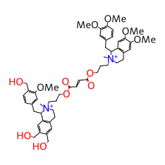 COc1cc(CC2c3cc(CO)c(CO)cc3CC[N+]2(C)CCCOC(=O)/C=C/C(=O)OCCC[N+]2(C)CCc3cc(OC)c(OC)cc3C2Cc2ccc(OC)c(OC)c2)ccc1CO